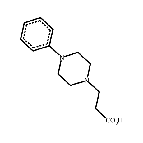 O=C(O)CCN1CCN(c2ccccc2)CC1